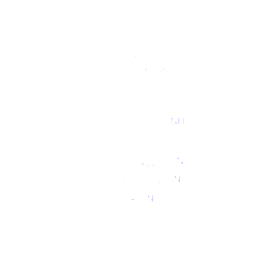 CCc1c(-c2nnc(Nc3ccccc3)o2)[nH]c2ccc(Cl)cc12